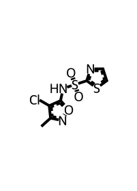 Cc1noc(NS(=O)(=O)c2nccs2)c1Cl